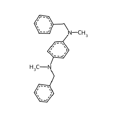 CN(Cc1ccccc1)c1ccc(N(C)Cc2ccccc2)cc1